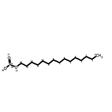 CCCCCCCCCCCCCCCO[N+](=O)[O-]